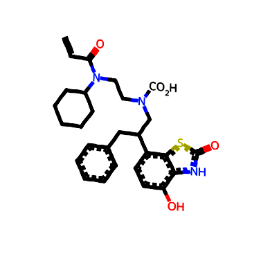 C=CC(=O)N(CCN(CC(Cc1ccccc1)c1ccc(O)c2[nH]c(=O)sc12)C(=O)O)C1CCCCC1